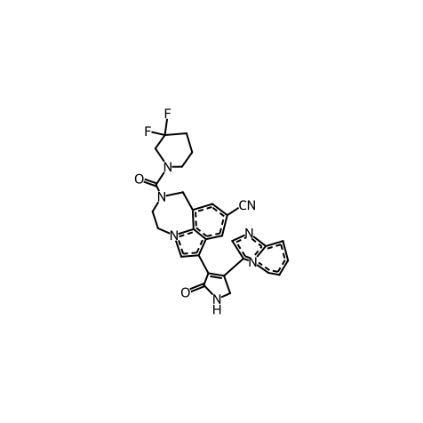 N#Cc1cc2c3c(c1)c(C1=C(c4cnc5ccccn45)CNC1=O)cn3CCN(C(=O)N1CCCC(F)(F)C1)C2